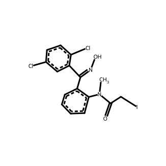 CN(C(=O)CI)c1ccccc1C(=NO)c1cc(Cl)ccc1Cl